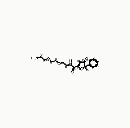 CC1(c2ccccc2)OC(C(=O)NCCOCCOCCN)=CC1=O